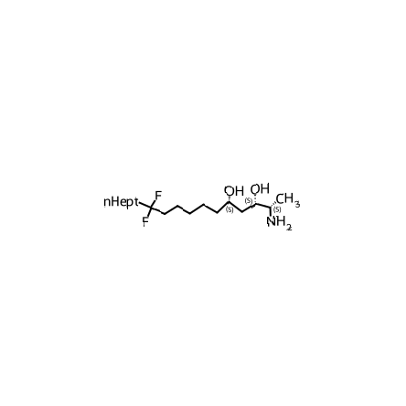 CCCCCCCC(F)(F)CCCCC[C@H](O)C[C@H](O)[C@H](C)N